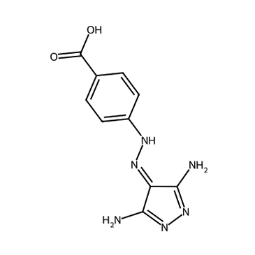 NC1=NN=C(N)C1=NNc1ccc(C(=O)O)cc1